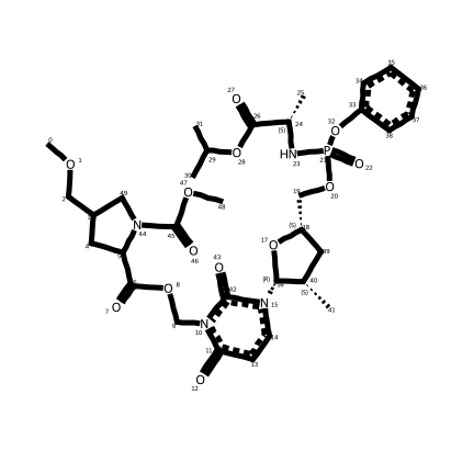 COCC1CC(C(=O)OCn2c(=O)ccn([C@@H]3O[C@H](COP(=O)(N[C@@H](C)C(=O)OC(C)C)Oc4ccccc4)C[C@@H]3C)c2=O)N(C(=O)OC)C1